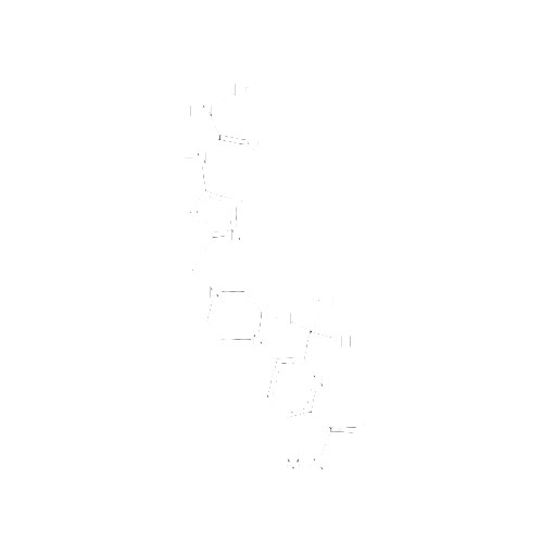 [2H]C([2H])([2H])c1nc(C(=O)NC)ccc1N1CCN(Cc2cc(NC(=O)NCC)on2)CC1